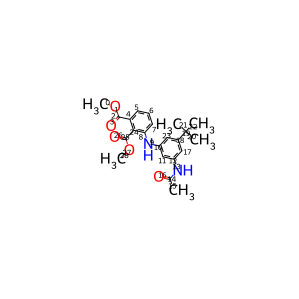 COC(=O)c1cccc(Nc2cc(NC(C)=O)cc(C(C)(C)C)c2)c1C(=O)OC